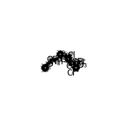 CCS(=O)(=O)c1ccc(Cl)cc1N(C)C(=O)c1cc(Cl)c(CN2CCC[C@H](CCNC(=O)OCc3ccccc3)C2)c(C(F)(F)F)c1